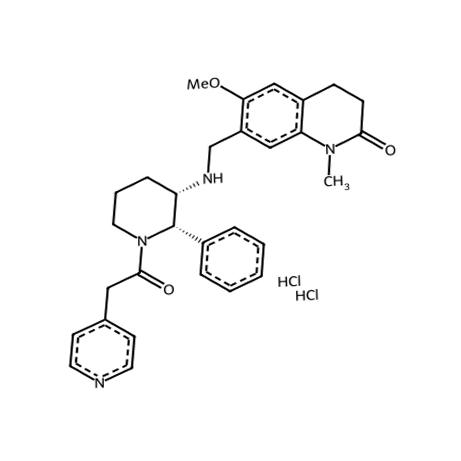 COc1cc2c(cc1CN[C@H]1CCCN(C(=O)Cc3ccncc3)[C@H]1c1ccccc1)N(C)C(=O)CC2.Cl.Cl